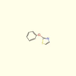 [c]1ccccc1Oc1nccs1